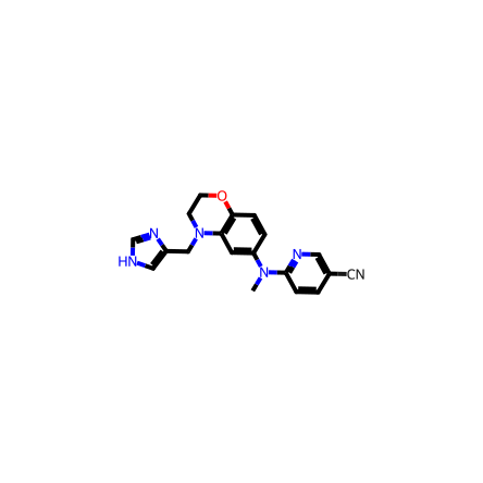 CN(c1ccc2c(c1)N(Cc1c[nH]cn1)CCO2)c1ccc(C#N)cn1